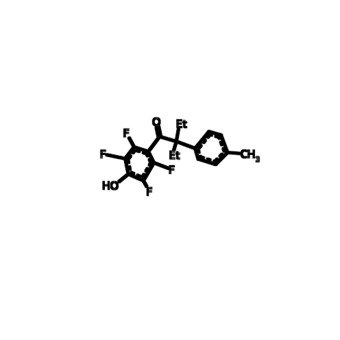 CCC(CC)(C(=O)c1c(F)c(F)c(O)c(F)c1F)c1ccc(C)cc1